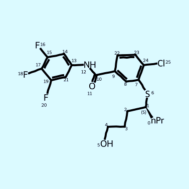 CCC[C@@H](CCCO)Sc1cc(C(=O)Nc2cc(F)c(F)c(F)c2)ccc1Cl